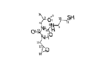 COC(C)CN(C(=O)NCCCS)C(=O)NCC1CO1